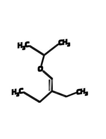 CCC(=COC(C)C)CC